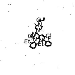 C=CC(=O)N1C[C@H](C)N(C2=N[P@](C)(=O)N(c3c(CC)cccc3CC)c3nc(-c4ccccc4F)c(Cl)cc32)C[C@H]1C